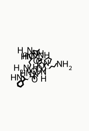 CC(C)[C@H](NC(=O)[C@@H]1CCCN1C(=O)[C@H](CCCCN)NC(=O)CNC(=O)[C@H](Cc1c[nH]c2ccccc12)NC(=O)[C@@H](N)CCCNC(=N)N)C(=O)O